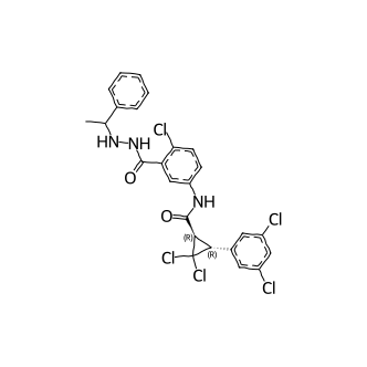 CC(NNC(=O)c1cc(NC(=O)[C@H]2[C@H](c3cc(Cl)cc(Cl)c3)C2(Cl)Cl)ccc1Cl)c1ccccc1